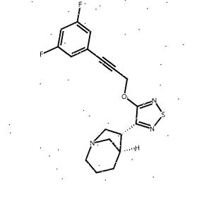 Fc1cc(F)cc(C#CCOc2nsnc2[C@H]2CN3CCC[C@H]2C3)c1